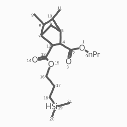 CCCOC(=O)C1C2CC(C(C)C2C)C1C(=O)OCCC[SiH](C)C